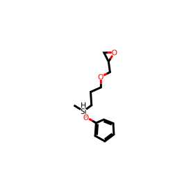 C[SiH](CCCOCC1CO1)Oc1ccccc1